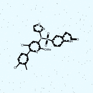 COc1nc(-c2ccc(Cl)c(C)c2)c(Cl)cc1N(c1ccon1)S(=O)(=O)c1ccc2[nH]c(=O)ccc2c1